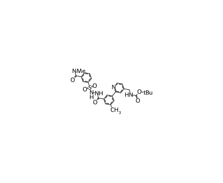 CNC(=O)c1cccc(S(=O)(=O)NNC(=O)c2cc(C)cc(-c3cc(CNC(=O)OC(C)(C)C)ccn3)c2)c1